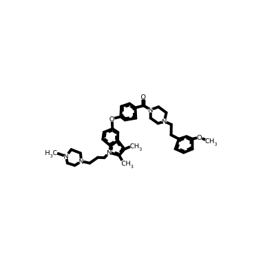 COc1cccc(CCN2CCN(C(=O)c3ccc(Oc4ccc5c(c4)c(C)c(C)n5CCCN4CCN(C)CC4)cc3)CC2)c1